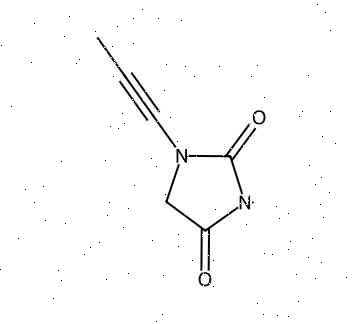 CC#CN1CC(=O)[N]C1=O